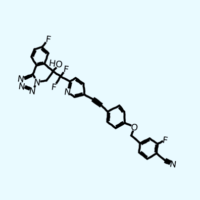 N#Cc1ccc(COc2ccc(C#Cc3ccc(C(F)(F)C4(O)Cn5nnnc5-c5ccc(F)cc54)nc3)cc2)cc1F